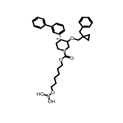 O=C(OCCCCCCON(O)O)N1CC[C@H](c2cccc(-c3ccccc3)c2)C(OCC2(Cc3ccccc3)CC2)C1